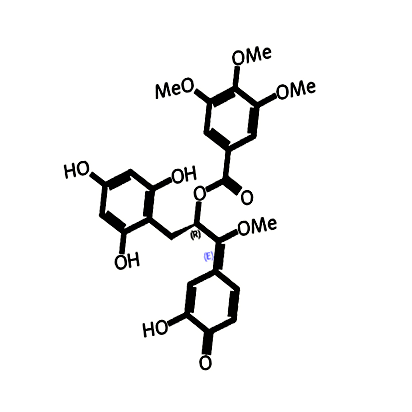 CO/C(=C1\C=CC(=O)C(O)=C1)[C@@H](Cc1c(O)cc(O)cc1O)OC(=O)c1cc(OC)c(OC)c(OC)c1